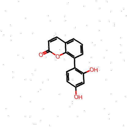 O=c1ccc2cccc(-c3ccc(O)cc3O)c2o1